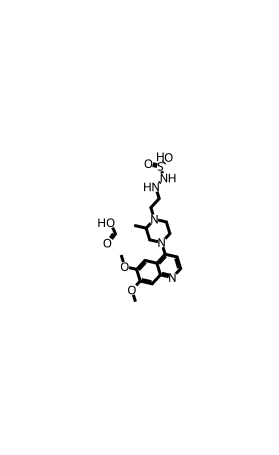 COc1cc2nccc(N3CCN(CCNN[SH](=O)=O)C(C)C3)c2cc1OC.O=CO